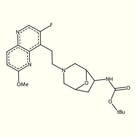 COc1ccc2ncc(F)c(CCN3CC4CC(NC(=O)OC(C)(C)C)C(C3)O4)c2n1